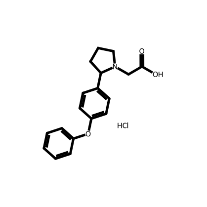 Cl.O=C(O)CN1CCCC1c1ccc(Oc2ccccc2)cc1